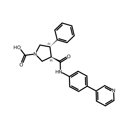 O=C(Nc1ccc(-c2cccnc2)cc1)[C@H]1CN(C(=O)O)C[C@@H]1c1ccccc1